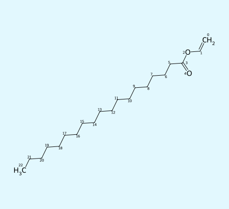 C=COC(=O)CCCCCCCCCCCCCCCCCC